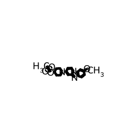 COc1ccc2nc3cc(N4CCC(OS(C)(=O)=O)CC4)ccn3c2c1